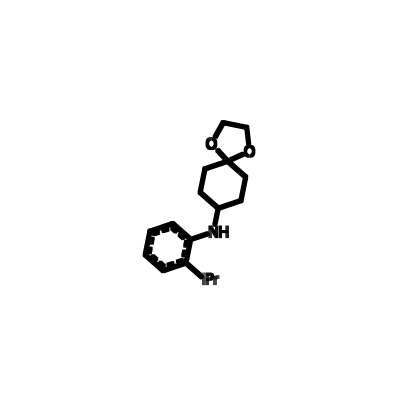 CC(C)c1ccccc1NC1CCC2(CC1)OCCO2